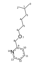 CC(C)CCCCOCc1ccccn1